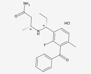 CC[C@@H](N[C@H](C)CC(N)=O)c1ccc(C)c(C(=O)c2ccccc2)c1F.Cl